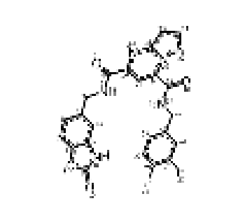 O=C(NCc1ccc2oc(=O)[nH]c2c1)c1cc(C(=O)NCc2ccc(F)c(F)c2)n2nccc2n1